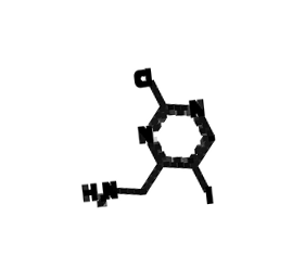 NCc1nc(Cl)ncc1I